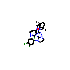 Fc1ccc(N2CCCn3nc(NC4[C@@H]5CC[C@H]4CN(c4ccnc(Cl)c4)C5)nc32)cc1F